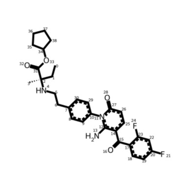 CC[C@@](C)(NCCc1ccc(-n2c(N)c(C(=O)c3ccc(F)cc3F)ccc2=O)cc1)C(=O)OC1CCCC1